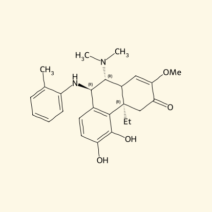 CC[C@@]12CC(=O)C(OC)=CC1[C@@H](N(C)C)[C@H](Nc1ccccc1C)c1ccc(O)c(O)c12